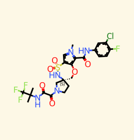 Cn1cc2c(c1C(=O)Nc1ccc(F)c(Cl)c1)OC[C@@]1(CCN(C(=O)C(=O)NC(C)(C)C(F)(F)F)C1)NS2(=O)=O